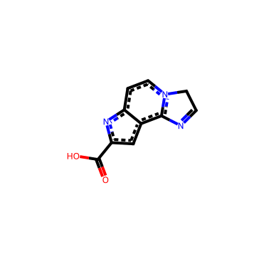 O=C(O)c1cc2c3n(ccc-2n1)CC=N3